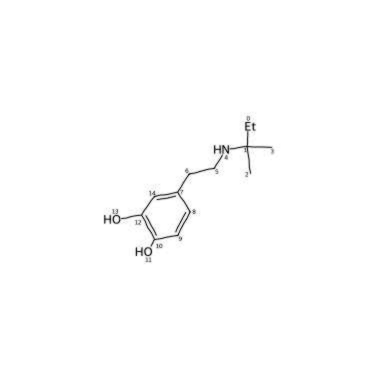 CCC(C)(C)NCCc1ccc(O)c(O)c1